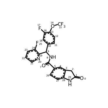 O=C1Cc2cc(C(=O)NC(c3ccc(OC(F)(F)F)c(F)c3)c3ncccc3F)ccc2N1